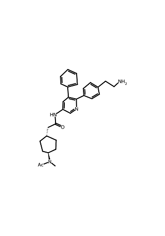 CC(=O)N(C)[C@H]1CC[C@H](CC(=O)Nc2cnc(-c3ccc(CCN)cc3)c(-c3ccccc3)c2)CC1